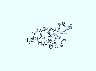 Cc1ccc(Sc2nc(-c3ccc(F)cc3)c(-c3ccccc3S(C)(=O)=O)s2)cc1